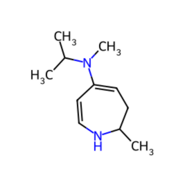 CC1CC=C(N(C)C(C)C)C=CN1